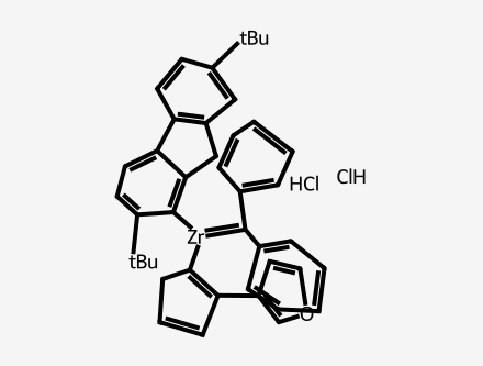 CC(C)(C)c1ccc2c(c1)Cc1c-2ccc(C(C)(C)C)[c]1[Zr]([C]1=C(c2ccoc2)C=CC1)=[C](c1ccccc1)c1ccccc1.Cl.Cl